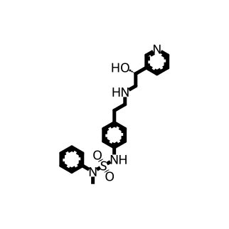 CN(c1ccccc1)S(=O)(=O)Nc1ccc(CCNC[C@H](O)c2cccnc2)cc1